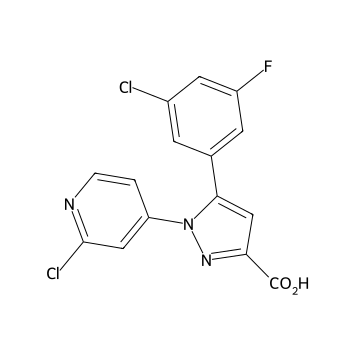 O=C(O)c1cc(-c2cc(F)cc(Cl)c2)n(-c2ccnc(Cl)c2)n1